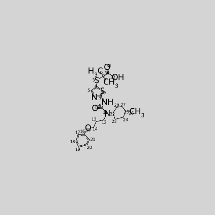 CC(C)(Sc1cnc(NC(=O)N(CCCOc2ccccc2)[C@H]2CC[C@H](C)CC2)s1)C(=O)O